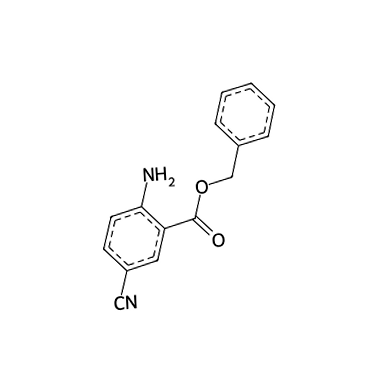 N#Cc1ccc(N)c(C(=O)OCc2ccccc2)c1